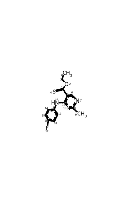 CCOC(=S)c1cnc(C)nc1Nc1ccc(F)cc1